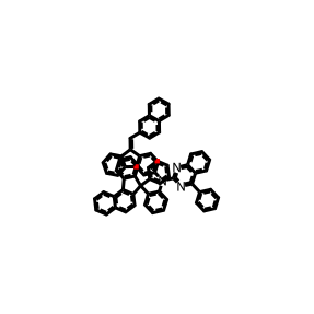 C(=C1\c2ccccc2-c2cc(N(c3nc(-c4ccccc4)c4ccccc4n3)c3ccccc3C3(c4ccccc4)c4ccccc4-c4c3ccc3ccccc43)ccc21)/c1ccc2ccccc2c1